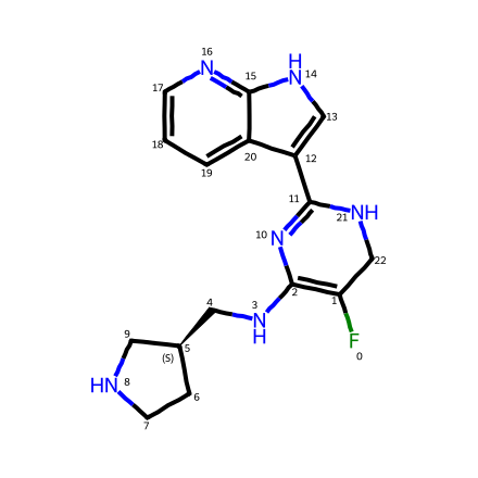 FC1=C(NC[C@H]2CCNC2)N=C(c2c[nH]c3ncccc23)NC1